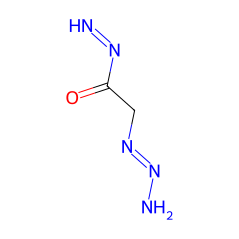 N=NC(=O)CN=NN